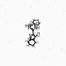 Clc1c(C2=NN[C@@]3(CC4CCC3CC4)N2)sc2ccccc12